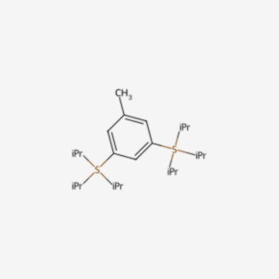 Cc1cc(S(C(C)C)(C(C)C)C(C)C)cc(S(C(C)C)(C(C)C)C(C)C)c1